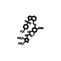 COc1cc(F)c(NC(=O)Nc2csc(C(=O)O)c2C(=O)O)cc1OCc1cccc2ccn(S(=O)(=O)c3ccc(C)cc3)c12